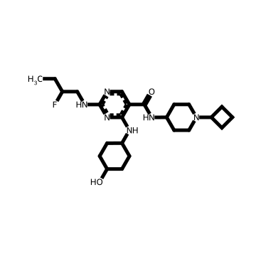 CCC(F)CNc1ncc(C(=O)NC2CCN(C3CCC3)CC2)c(NC2CCC(O)CC2)n1